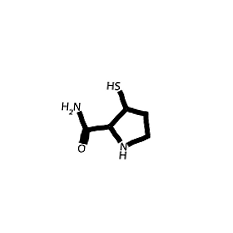 NC(=O)C1NCCC1S